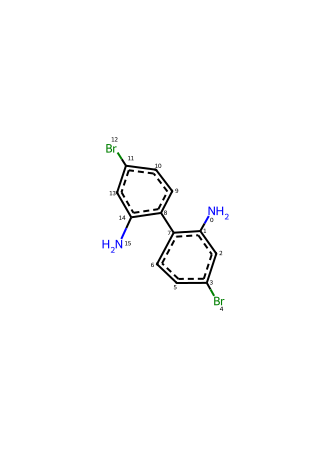 Nc1cc(Br)ccc1-c1ccc(Br)cc1N